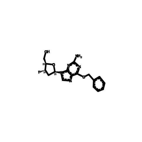 Nc1nc(OCc2ccccc2)c2ncn([C@H]3C[C@H](F)[C@@H](CO)O3)c2n1